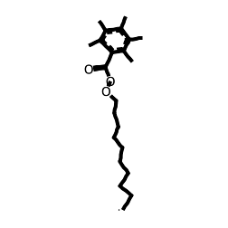 [CH2]CCCCCCCCCOOC(=O)c1c(C)c(C)c(C)c(C)c1C